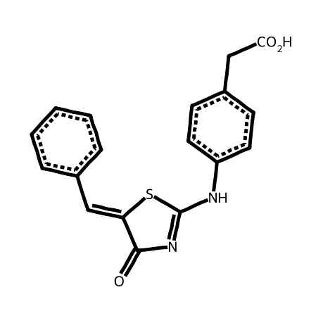 O=C(O)Cc1ccc(NC2=NC(=O)C(=Cc3ccccc3)S2)cc1